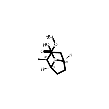 C[C@H]1C(O)C[C@H]2CC[C@@H]1N2C(=O)OC(C)(C)C